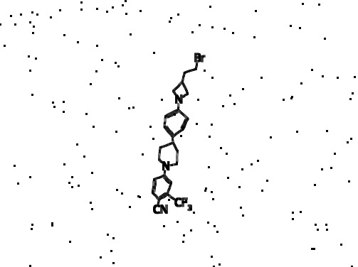 N#Cc1ccc(N2CCC(c3ccc(N4CC(CCBr)C4)cc3)CC2)cc1C(F)(F)F